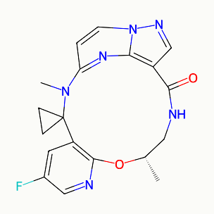 C[C@H]1CNC(=O)c2cnn3ccc(nc23)N(C)C2(CC2)c2cc(F)cnc2O1